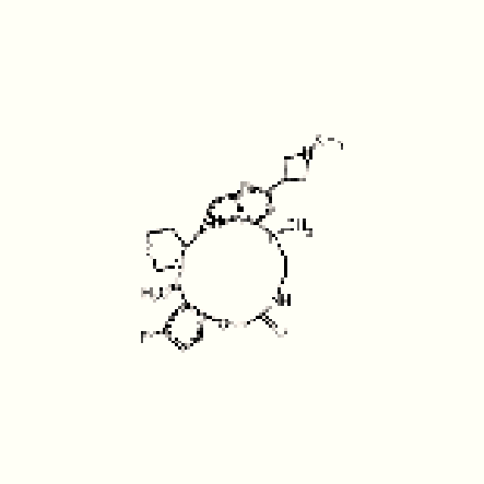 C=C1c2cc(F)ccc2OCC(=O)NCCN(C)c2cc(C3CN(C)C3)nc3cc(nn23)C2CCCCN12